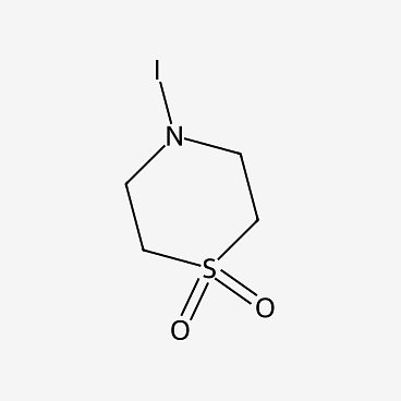 O=S1(=O)CCN(I)CC1